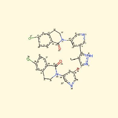 Cc1cn[nH]c1-c1cncc(N2CCc3cc(Cl)ccc3C2=O)c1.O=C1c2ccc(Cl)cc2CCN1c1cncc(Br)c1